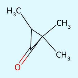 CC1C(=O)C1(C)C